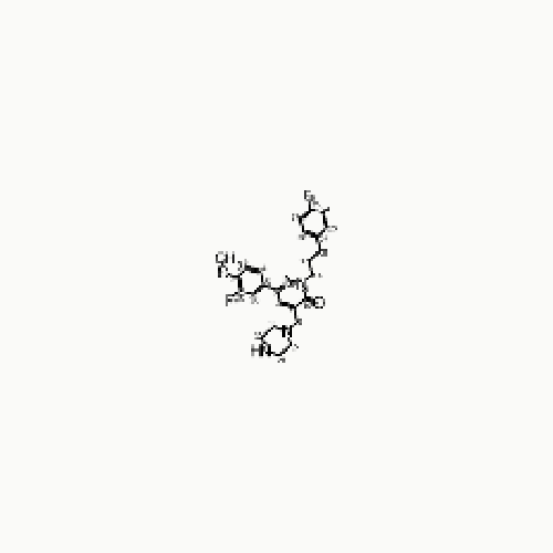 COc1ccc(-c2cc(CN3CCNCC3)c(=O)n(CCCc3ccc(F)cc3)n2)cc1F